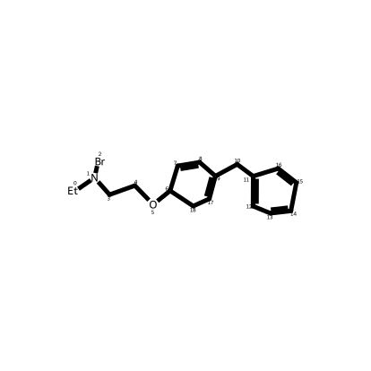 CCN(Br)CCOC1C=CC(Cc2ccccc2)=CC1